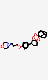 c1cc(C2CCCC3(C2)OOC2(O3)C3CC4CC(C3)CC2C4)ccc1OCCCN1CCOCC1